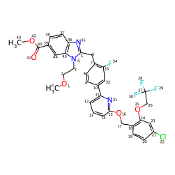 COCCn1c(Cc2ccc(-c3cccc(OCc4ccc(Cl)cc4OCC(F)(F)F)n3)cc2F)nc2ccc(C(=O)OC)cc21